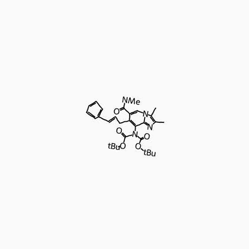 CNC(=O)c1cn2c(C)c(C)nc2c(N(C(=O)OC(C)(C)C)C(=O)OC(C)(C)C)c1C/C=C/c1ccccc1